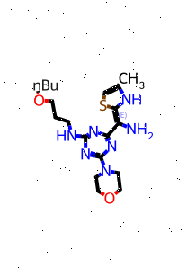 CCCCOCCCNc1nc(/C(N)=C2/NC(C)=CS2)nc(N2CCOCC2)n1